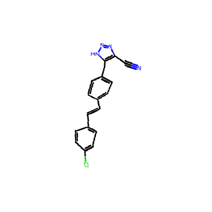 N#Cc1nn[nH]c1-c1ccc(C=Cc2ccc(Cl)cc2)cc1